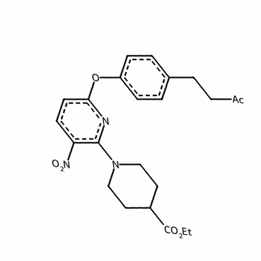 CCOC(=O)C1CCN(c2nc(Oc3ccc(CCC(C)=O)cc3)ccc2[N+](=O)[O-])CC1